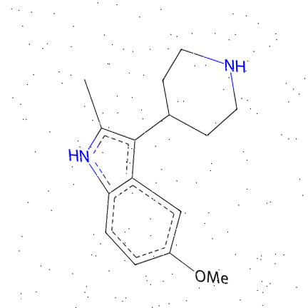 COc1ccc2[nH]c(C)c(C3CCNCC3)c2c1